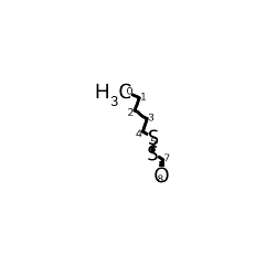 CCCCCSSC=O